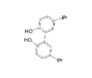 CC(C)c1ccc(O)c(-c2cc(C(C)C)ccc2O)c1